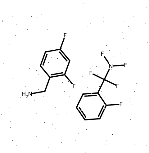 Fc1ccccc1C(F)(F)N(F)F.NCc1ccc(F)cc1F